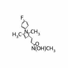 Cc1cc(/C=C/C(=O)N(C)O)c(C)n1-c1ccc(F)cc1